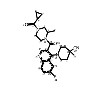 CC1CN(C(=O)C2CC2)CCN1C(=O)c1cnc2ccc(F)cc2c1N1CCC(C)(C#N)CC1